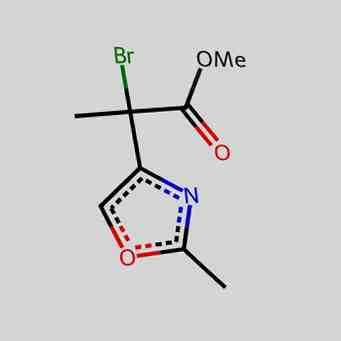 COC(=O)C(C)(Br)c1coc(C)n1